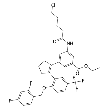 CCOC(=O)c1cc(NC(=O)CCCCCl)cc(C2=C(c3cc(C(F)(F)F)ccc3OCc3ccc(F)cc3F)CCC2)c1